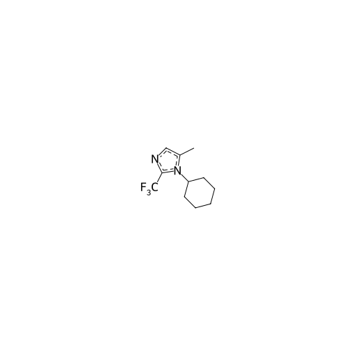 Cc1cnc(C(F)(F)F)n1C1CCCCC1